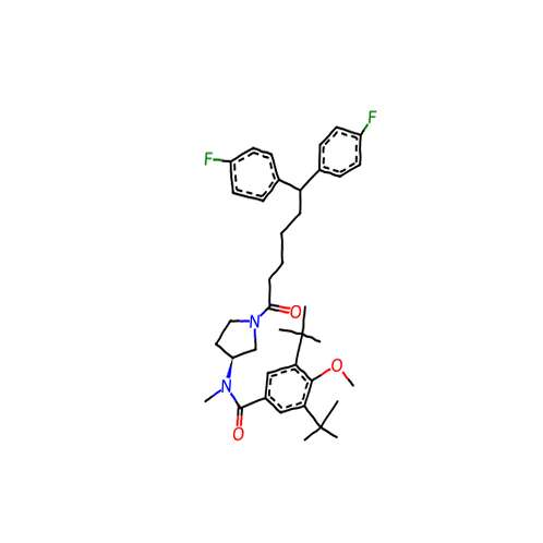 COc1c(C(C)(C)C)cc(C(=O)N(C)[C@H]2CCN(C(=O)CCCCC(c3ccc(F)cc3)c3ccc(F)cc3)C2)cc1C(C)(C)C